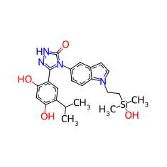 CC(C)c1cc(-c2n[nH]c(=O)n2-c2ccc3c(ccn3CC[Si](C)(C)O)c2)c(O)cc1O